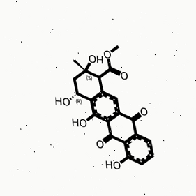 COC(=O)C1c2cc3c(c(O)c2[C@H](O)C[C@]1(C)O)C(=O)c1c(O)cccc1C3=O